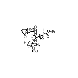 CC(C)(C)OC(=O)Nc1nc(/C(=N/OC(C)(C)C(=O)OC(C)(C)C)C(=O)N[C@@H]2C(=O)N[C@@H]2CN2CCCCC2=O)cs1